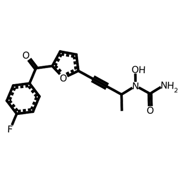 CC(C#Cc1ccc(C(=O)c2ccc(F)cc2)o1)N(O)C(N)=O